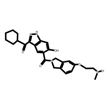 CCN(C)CCOc1ccc2c(c1)CN(C(=O)c1cc3c(C(=O)C4CCCCC4)n[nH]c3cc1O)C2